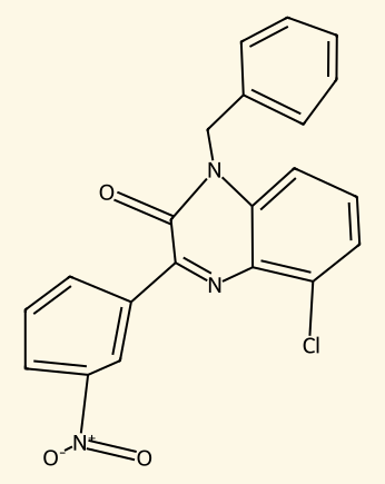 O=c1c(-c2cccc([N+](=O)[O-])c2)nc2c(Cl)cccc2n1Cc1ccccc1